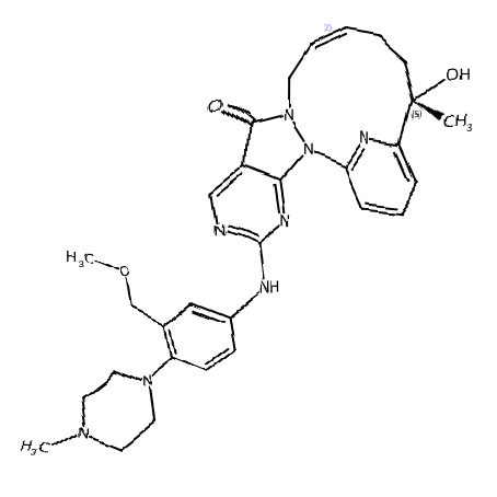 COCc1cc(Nc2ncc3c(=O)n4n(c3n2)-c2cccc(n2)[C@@](C)(O)CC/C=C\C4)ccc1N1CCN(C)CC1